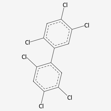 Clc1cc(Cl)c(-c2cc(Cl)c(Cl)cc2Cl)cc1Cl